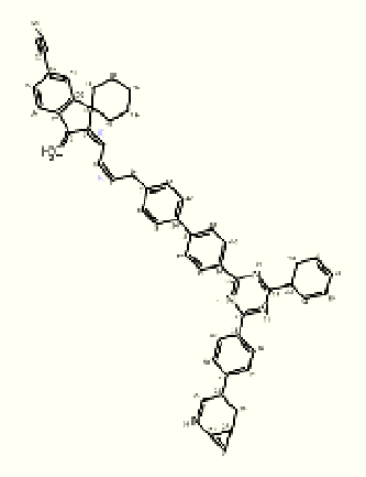 C=C1/C(=C\C=C/Cc2ccc(-c3ccc(-c4nc(-c5ccc(C6C=NC7=CC7C6)cc5)nc(C5C=CC=CC5)n4)cc3)cc2)C2(CCCCC2)c2cc(C#N)ccc21